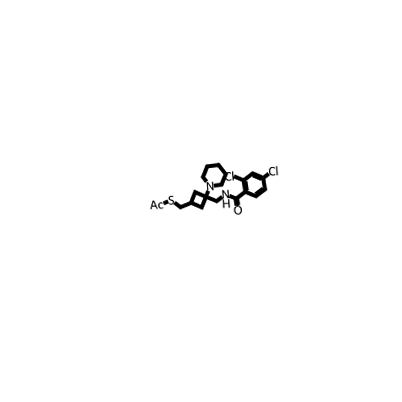 CC(=O)SCC1CC(CNC(=O)c2ccc(Cl)cc2Cl)(N2CCCCC2)C1